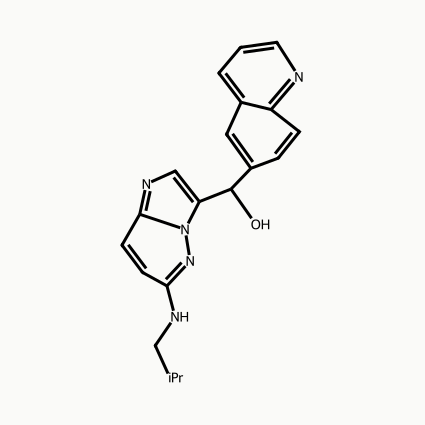 CC(C)CNc1ccc2ncc(C(O)c3ccc4ncccc4c3)n2n1